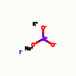 [I-].[K+].[Na+].[O-][I+2]([O-])[O-]